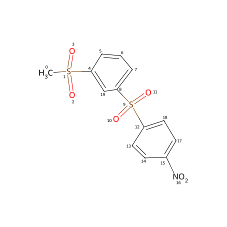 CS(=O)(=O)c1cccc(S(=O)(=O)c2ccc([N+](=O)[O-])cc2)c1